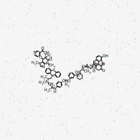 CC(=O)Nc1ccc(O)cc1.CC(CN1c2ccccc2Sc2ccccc21)N(C)C.COc1cccc([C@@]2(O)CCCC[C@@H]2CN(C)C)c1.Cn1c(=O)c2c(ncn2C)n(C)c1=O.O=C(O)c1cccnc1.O=C1CC[C@@]2(O)[C@H]3Cc4ccc(O)c5c4[C@@]2(CCN3CC2CC2)[C@H]1O5